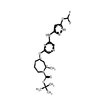 C[C@@H]1C[C@H](Oc2cncc(Nc3cc(OC(F)F)[nH]n3)n2)CCCN1C(=O)OC(C)(C)C